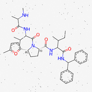 CCC(C)C(NC(=O)[C@@H]1CC[C@H](c2ccc(C)o2)N1C(=O)C(NC(=O)C(C)NC)C(C)C)C(=O)NC(c1ccccc1)c1ccccc1